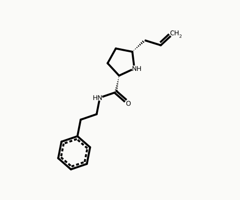 C=CC[C@H]1CC[C@@H](C(=O)NCCc2ccccc2)N1